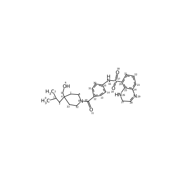 CC(C)CC1(CO)CCN(C(=O)c2ccc(NS(=O)(=O)c3cccc4c3NCC=N4)cc2)CC1